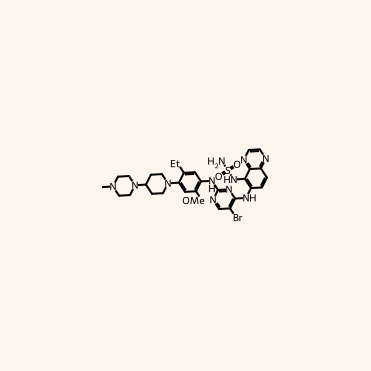 CCc1cc(Nc2ncc(Br)c(Nc3ccc4nccnc4c3NS(N)(=O)=O)n2)c(OC)cc1N1CCC(N2CCN(C)CC2)CC1